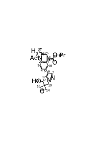 CC(=O)N1c2ccc(-c3cnn(CC4(CO)COC4)c3)cc2N(C(=O)OC(C)C)C[C@@H]1C